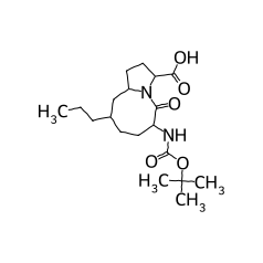 CCCC1CCC(NC(=O)OC(C)(C)C)C(=O)N2C(CCC2C(=O)O)C1